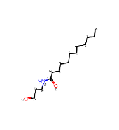 CCCCCCCCCCCC(=O)NCCC=O